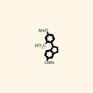 COc1ccc2c(c1)CCC2c1ccc(OC)cc1C(=O)O